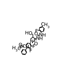 Cc1ccc(NC(=O)N[C@H]2C(=O)N(c3ccc(-c4ccccc4P(C)(C)=O)c(F)c3F)CC2CO)c(F)c1